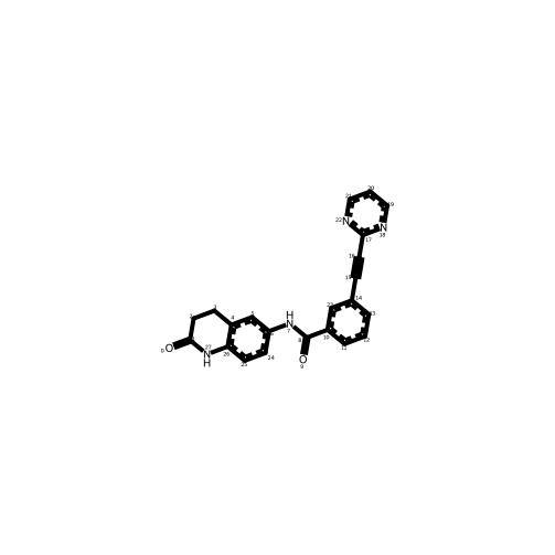 O=C1CCc2cc(NC(=O)c3cccc(C#Cc4ncccn4)c3)ccc2N1